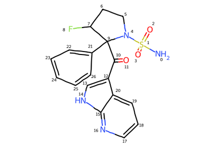 NS(=O)(=O)N1CCC(F)C1(C(=O)c1c[nH]c2ncccc12)c1ccccc1